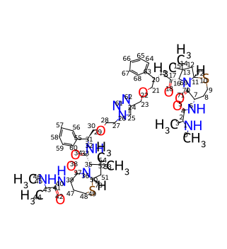 CN[C@@H](C)C(=O)N[C@H]1CCS[C@H]2CC(C)(C)[C@@H](C(=O)C[C@H](COCc3cn(CCOC[C@@H](NC(=O)[C@H]4N5C(=O)[C@@H](NC(=O)[C@H](C)NC)CCS[C@H]5CC4(C)C)c4ccccc4)nn3)c3ccccc3)N2C1=O